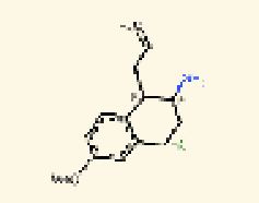 C=CC[C@@H]1c2ccc(OC)cc2CC[C@@H]1N.Cl